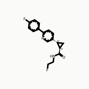 O=C(NCCF)[C@@H]1C[C@H]1c1ccc(-c2ccc(F)cc2)nc1